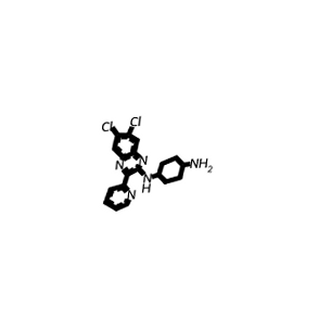 NC1CCC(Nc2nc3cc(Cl)c(Cl)cc3nc2-c2ccccn2)CC1